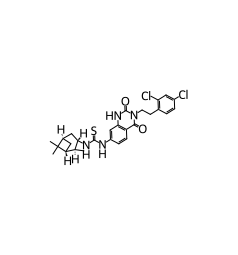 C[C@@H]1[C@@H](NC(=S)Nc2ccc3c(=O)n(CCc4ccc(Cl)cc4Cl)c(=O)[nH]c3c2)C[C@H]2C[C@H]1C2(C)C